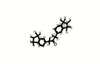 CC1C(C)(C)c2ccc(C(C)(C)C(=O)C(C)(C)c3ccc4c(c3)C(C)(C)C(C)C4(C)C)cc2C1(C)C